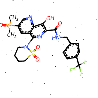 CP(C)(=O)c1cnc2c(O)c(C(=O)NCc3ccc(C(F)(F)F)cc3)nc(N3CCCCS3(=O)=O)c2c1